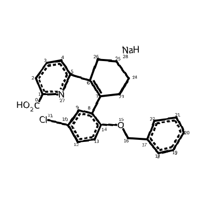 O=C(O)c1cccc(C2=C(c3cc(Cl)ccc3OCc3ccccc3)CCCC2)n1.[NaH]